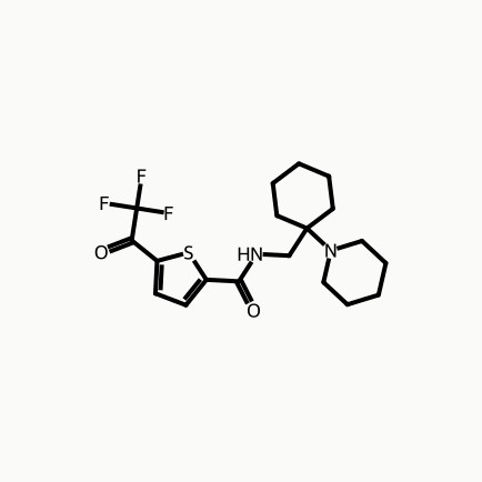 O=C(NCC1(N2CCCCC2)CCCCC1)c1ccc(C(=O)C(F)(F)F)s1